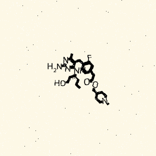 CCC[C@@H](CCO)Nc1nc(N)nc(C)c1Cc1ccc(CC(=O)OCC2CCN(C)CC2)cc1F